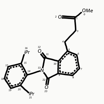 COC(=O)CCc1cccc2c1C(=O)N(c1c(C(C)C)cccc1C(C)C)C2=O